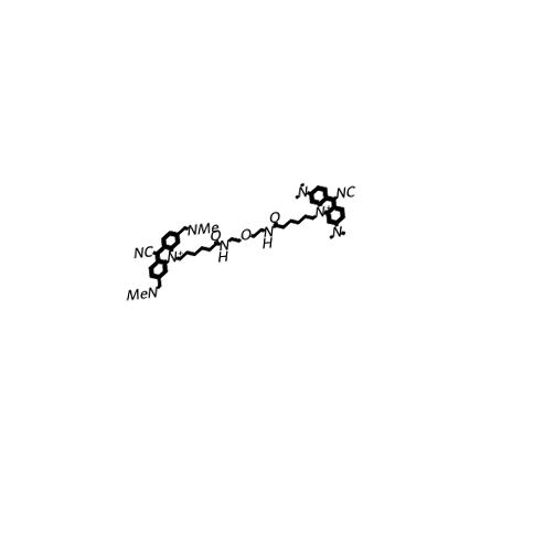 [C-]#[N+]c1c2ccc(N(C)C)cc2[n+](CCCCCC(=O)NCCOCCNC(=O)CCCCC[n+]2c3cc(CNC)ccc3c(C#N)c3ccc(CNC)cc32)c2cc(N(C)C)ccc12